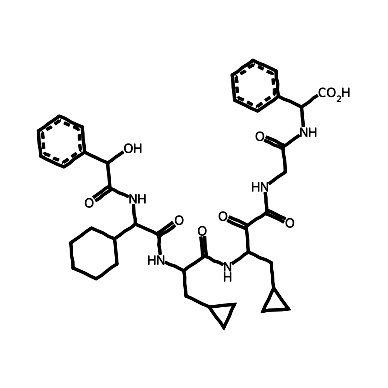 O=C(CNC(=O)C(=O)C(CC1CC1)NC(=O)C(CC1CC1)NC(=O)C(NC(=O)C(O)c1ccccc1)C1CCCCC1)NC(C(=O)O)c1ccccc1